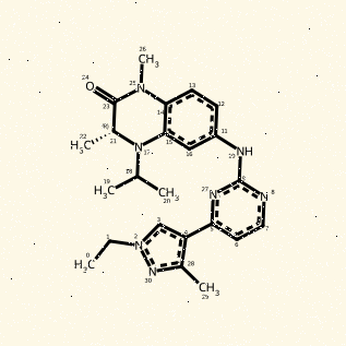 CCn1cc(-c2ccnc(Nc3ccc4c(c3)N(C(C)C)[C@H](C)C(=O)N4C)n2)c(C)n1